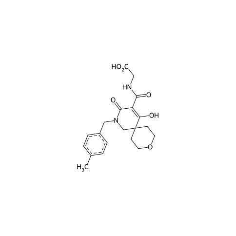 Cc1ccc(CN2CC3(CCOCC3)C(O)=C(C(=O)NCC(=O)O)C2=O)cc1